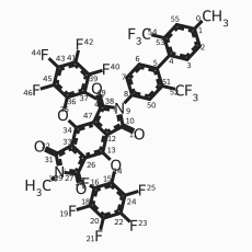 Cc1ccc(-c2ccc(-n3c(=O)c4c(Oc5c(F)c(F)c(F)c(F)c5F)c5c(=O)n(C)c(=O)c5c(Oc5c(F)c(F)c(F)c(F)c5F)c4c3=O)cc2C(F)(F)F)c(C(F)(F)F)c1